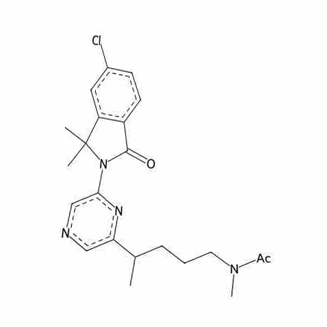 CC(=O)N(C)CCCC(C)c1cncc(N2C(=O)c3ccc(Cl)cc3C2(C)C)n1